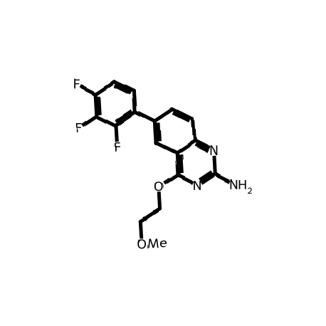 COCCOc1nc(N)nc2ccc(-c3ccc(F)c(F)c3F)cc12